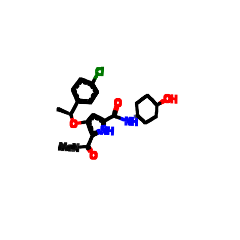 CNC(=O)c1[nH]c(C(=O)N[C@H]2CC[C@H](O)CC2)cc1O[C@@H](C)c1ccc(Cl)cc1